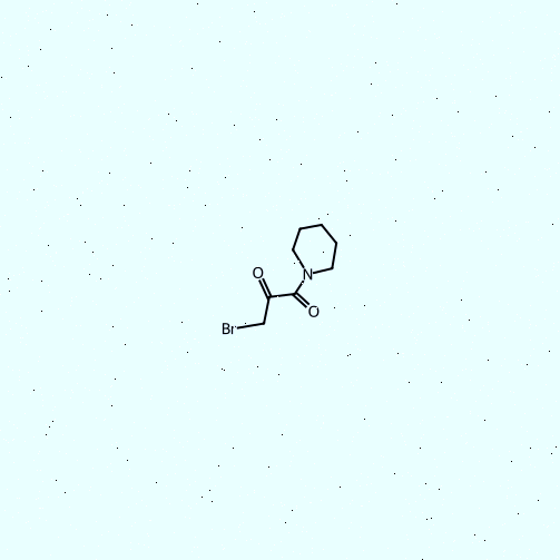 O=C(CBr)C(=O)N1CCCCC1